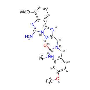 COc1cccc2c1nc(N)n1nc(CN(Cc3ccc(OC(F)(F)F)cc3)C(=O)NC(C)C)nc21